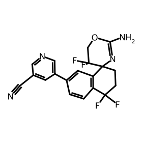 N#Cc1cncc(-c2ccc3c(c2)C2(CCC3(F)F)N=C(N)OCC2(F)F)c1